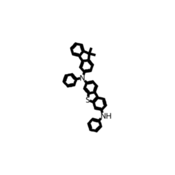 CC1(C)c2ccccc2-c2cc(N(c3ccccc3)c3ccc4c(c3)sc3cc(Nc5ccccc5)ccc34)ccc21